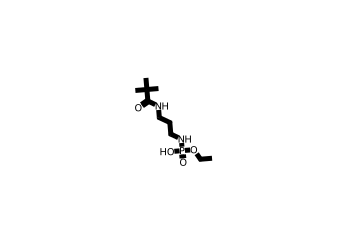 CCOP(=O)(O)NCCCNC(=O)C(C)(C)C